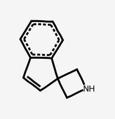 C1=CC2(CNC2)c2ccccc21